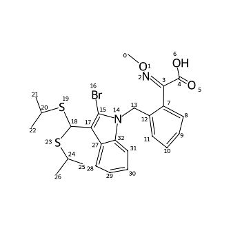 CON=C(C(=O)O)c1ccccc1Cn1c(Br)c(C(SC(C)C)SC(C)C)c2ccccc21